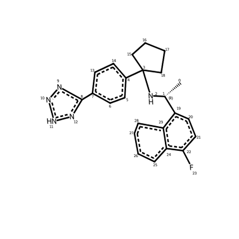 C[C@@H](NC1(c2ccc(-c3nn[nH]n3)cc2)CCCC1)c1ccc(F)c2ccccc12